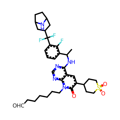 CC(Nc1ncnc2c1cc(C1CCS(=O)(=O)CC1)c(=O)n2CCCCCCC=O)c1cccc(C(F)(F)C2CC3CCC(C2)N3)c1F